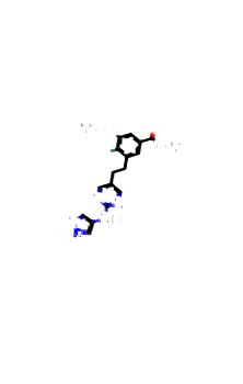 CCn1cc(Nc2ncc(CCc3cc(C(=O)OC)cc(OC)c3F)cn2)cn1